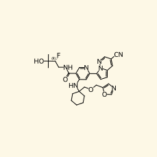 CC(C)(O)[C@H](F)CNC(=O)c1cnc(-c2ccc3cc(C#N)cnn23)cc1NC1(COCc2cnco2)CCCCC1